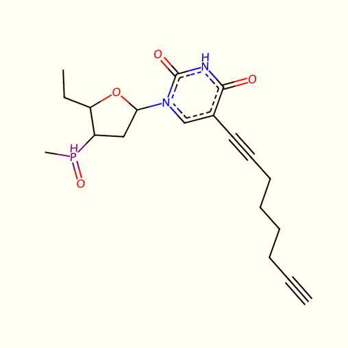 C#CCCCCC#Cc1cn(C2CC([PH](C)=O)C(CC)O2)c(=O)[nH]c1=O